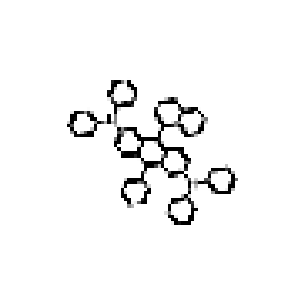 c1ccc(-c2c3cc(N(c4ccccc4)c4ccccc4)ccc3c(-c3cccc4ccccc34)c3cc(N(c4ccccc4)c4ccccc4)ccc23)cc1